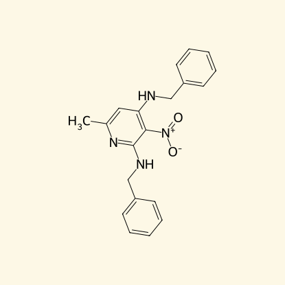 Cc1cc(NCc2ccccc2)c([N+](=O)[O-])c(NCc2ccccc2)n1